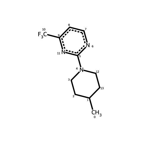 CC1CCN(c2nccc(C(F)(F)F)n2)CC1